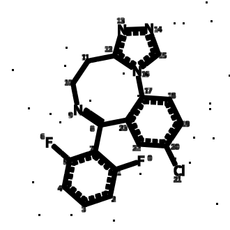 Fc1cccc(F)c1C1=NCCc2nncn2-c2ccc(Cl)cc21